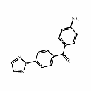 Nc1ccc(C(=O)c2ccc(-n3nccn3)cc2)cc1